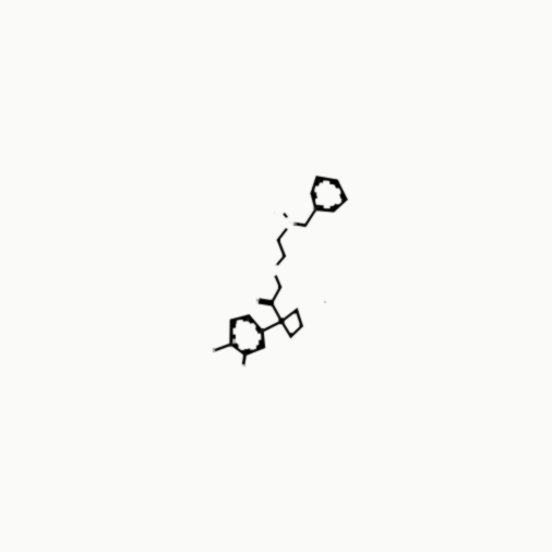 CN(CCSCC(=O)C1(c2ccc(Cl)c(Cl)c2)CCC1)Cc1ccccc1.Cl